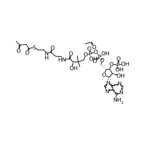 CC(=O)CC(=O)SCCNC(=O)CCNC(=O)[C@H](O)C(C)(C)COP(=O)(O)OP(=O)(O)OC[C@H]1O[C@@H](n2cnc3c(N)ncnc32)[C@H](O)[C@@H]1OP(=O)(O)O.[CH2]C=O